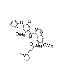 COc1cc2ncnc(Nc3cc(Cl)c(Oc4ccccn4)cc3OC)c2cc1NC(=O)/C=C/C1CCCN1C